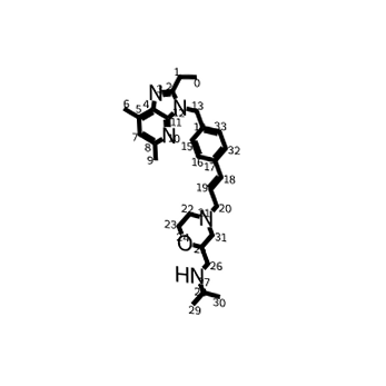 CCc1nc2c(C)cc(C)nc2n1Cc1ccc(C=CCN2CCOC(CNC(C)C)C2)cc1